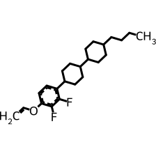 C=COc1ccc(C2CCC(C3CCC(CCCC)CC3)CC2)c(F)c1F